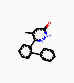 Cc1cc(=O)[nH]nc1-c1ccccc1-c1ccccc1